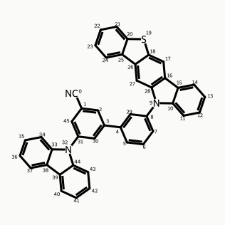 N#Cc1cc(-c2cccc(-n3c4ccccc4c4cc5sc6ccccc6c5cc43)c2)cc(-n2c3ccccc3c3ccccc32)c1